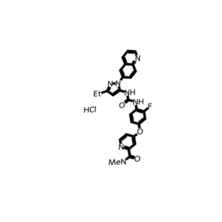 CCc1cc(NC(=O)Nc2ccc(Oc3ccnc(C(=O)NC)c3)cc2F)n(-c2ccc3ncccc3c2)n1.Cl